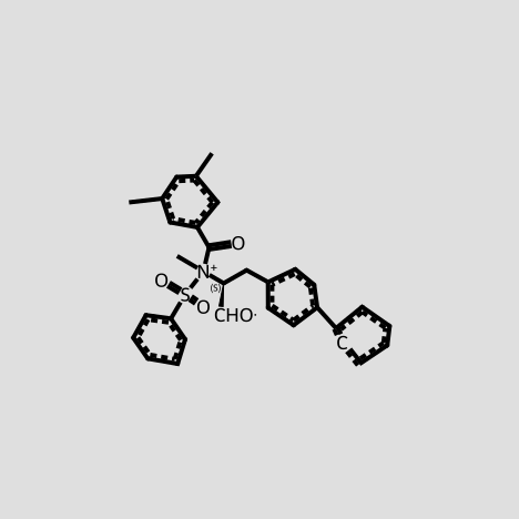 Cc1cc(C)cc(C(=O)[N+](C)([C@H]([C]=O)Cc2ccc(-c3ccccc3)cc2)S(=O)(=O)c2ccccc2)c1